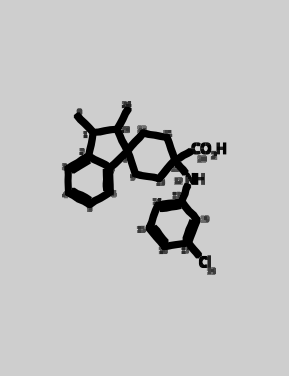 CC1c2ccccc2C2(CCC(Nc3cccc(Cl)c3)(C(=O)O)CC2)C1C